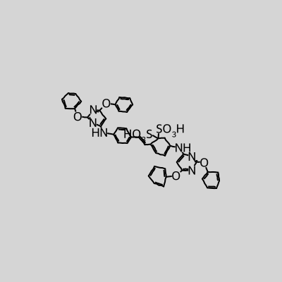 O=S(=O)(O)C1(S(=O)(=O)O)CC(Nc2cc(Oc3ccccc3)nc(Oc3ccccc3)n2)=CC=C1C=Cc1ccc(Nc2cc(Oc3ccccc3)nc(Oc3ccccc3)n2)cc1